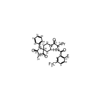 CC(C)[C@@H](NC(=O)c1cc(C(F)(F)F)ccc1F)C(=O)N1CCC2(CC1)C(=O)N(C)C(=O)N2c1ccccc1